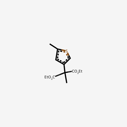 CCOC(=O)C(C)(C(=O)OCC)c1csc(C)c1